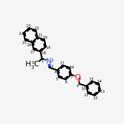 CC(/N=C/c1ccc(OCc2ccccc2)cc1)c1ccc2ccccc2c1